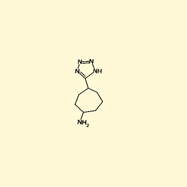 NC1CCCC(c2nnn[nH]2)CC1